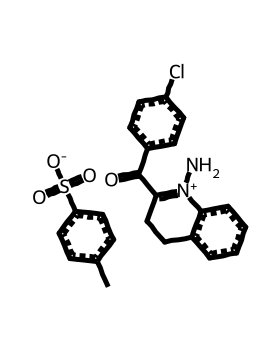 Cc1ccc(S(=O)(=O)[O-])cc1.N[N+]1=C(C(=O)c2ccc(Cl)cc2)CCc2ccccc21